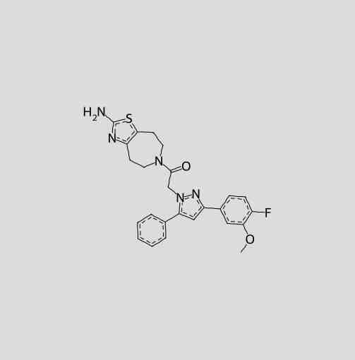 COc1cc(-c2cc(-c3ccccc3)n(CC(=O)N3CCc4nc(N)sc4CC3)n2)ccc1F